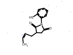 C/C=C\CC1CC(=O)N(c2ccccc2S)C1=O